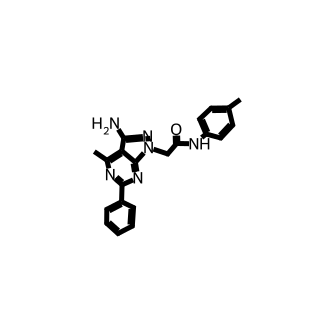 Cc1ccc(NC(=O)Cn2nc(N)c3c(C)nc(-c4ccccc4)nc32)cc1